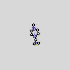 c1ccc(-c2nc(-c3ccc(N4c5ccccc5Sc5ccccc54)cc3)cc(-c3cccc(-c4cccc(-c5nc(-c6ccccc6)nc(-c6ccccc6)n5)c4)c3)n2)cc1